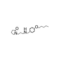 CCCCCOc1ccc(CNCCCN2CCCC2=O)cc1